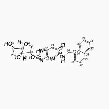 O[C@@H]1CO[C@H]2[C@@H]1OC[C@H]2Oc1nc2nc(NCc3cccc4ccccc34)c(Cl)cc2[nH]1